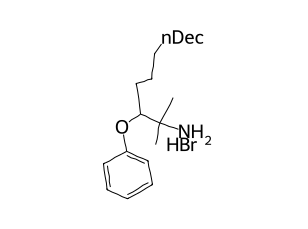 Br.CCCCCCCCCCCCCC(Oc1ccccc1)C(C)(C)N